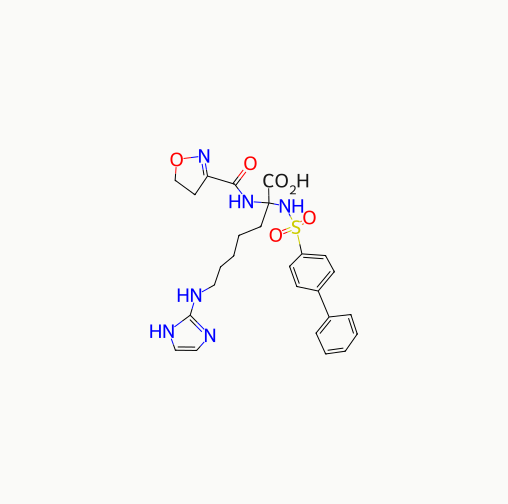 O=C(NC(CCCCCNc1ncc[nH]1)(NS(=O)(=O)c1ccc(-c2ccccc2)cc1)C(=O)O)C1=NOCC1